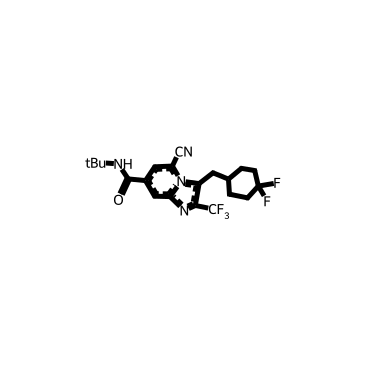 CC(C)(C)NC(=O)c1cc(C#N)n2c(CC3CCC(F)(F)CC3)c(C(F)(F)F)nc2c1